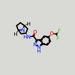 CN1[C@@H]2CC[C@H]1C[C@H](NC(=O)c1n[nH]c3ccc(OC(F)F)cc13)C2